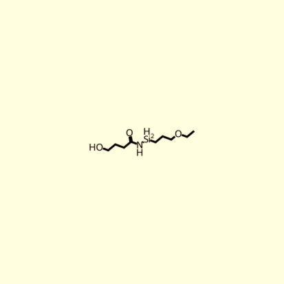 CCOCCC[SiH2]NC(=O)CCCO